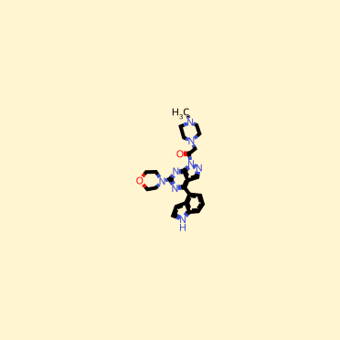 CN1CCN(CC(=O)n2ncc3c(-c4cccc5[nH]ccc45)nc(N4CCOCC4)nc32)CC1